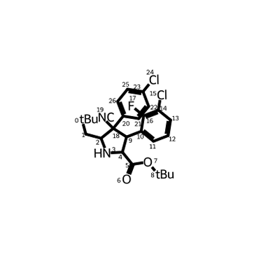 CC(C)(C)CC1NC(C(=O)OC(C)(C)C)C(c2cccc(Cl)c2F)C1(C#N)c1ccc(Cl)cc1